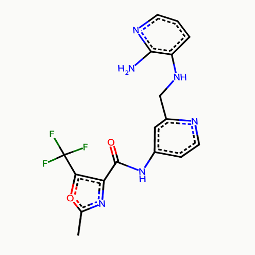 Cc1nc(C(=O)Nc2ccnc(CNc3cccnc3N)c2)c(C(F)(F)F)o1